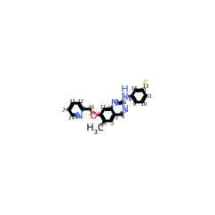 Cc1cc2cnc(Nc3cccc(F)c3)nc2cc1OCc1ccccn1